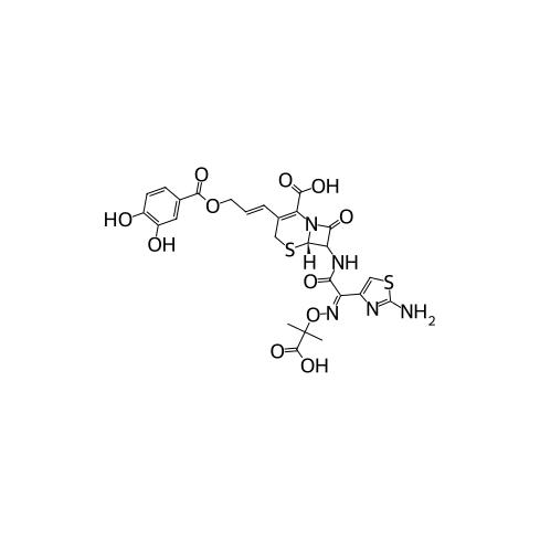 CC(C)(O/N=C(\C(=O)NC1C(=O)N2C(C(=O)O)=C(/C=C/COC(=O)c3ccc(O)c(O)c3)CS[C@@H]12)c1csc(N)n1)C(=O)O